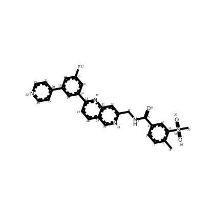 Cc1ccc(C(=O)NCc2cc3nc(-c4cc(F)cc(-c5ccncc5)c4)ccc3cn2)cc1S(C)(=O)=O